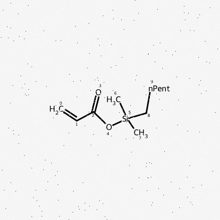 C=CC(=O)O[Si](C)(C)CCCCCC